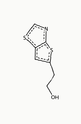 OCCc1cc2scnc2s1